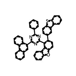 c1ccc(-c2nc(-c3cc4ccccc4c4ccccc34)nc(-c3c(-c4ccc5sc6ccccc6c5c4)ccc4oc5ccccc5c34)n2)cc1